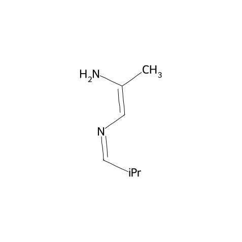 C/C(N)=C/N=C\C(C)C